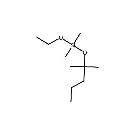 CCCC(C)(C)O[Si](C)(C)OCC